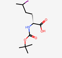 CC(I)CC[C@@H](NC(=O)OC(C)(C)C)C(=O)O